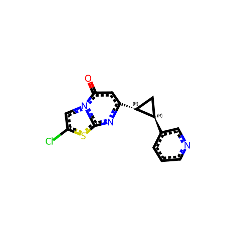 O=c1cc([C@@H]2C[C@H]2c2cccnc2)nc2sc(Cl)cn12